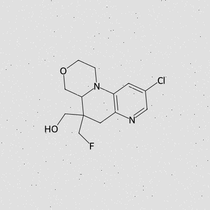 OCC1(CF)Cc2ncc(Cl)cc2N2CCOCC21